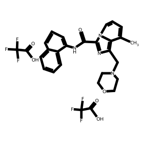 Cc1cccn2c(C(=O)Nc3cccc4ccccc34)nc(CN3CCOCC3)c12.O=C(O)C(F)(F)F.O=C(O)C(F)(F)F